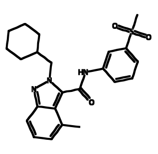 Cc1cccc2nn(CC3CCCCC3)c(C(=O)Nc3cccc(S(C)(=O)=O)c3)c12